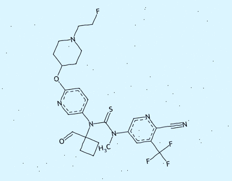 CN(C(=S)N(c1ccc(OC2CCN(CCF)CC2)nc1)C1(C=O)CCC1)c1cnc(C#N)c(C(F)(F)F)c1